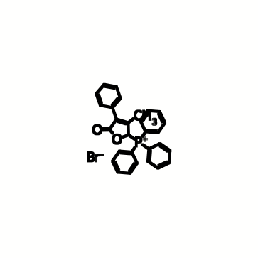 CC1=C(c2ccccc2)C(=O)OC1[P+](c1ccccc1)(c1ccccc1)c1ccccc1.[Br-]